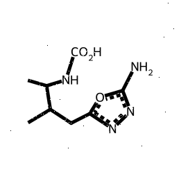 CC(Cc1nnc(N)o1)C(C)NC(=O)O